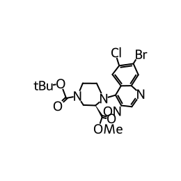 COC(=O)[C@H]1CN(C(=O)OC(C)(C)C)CCN1c1c(N=O)cnc2cc(Br)c(Cl)cc12